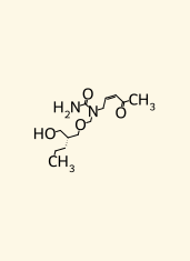 CCC[C@H](CO)COCN(C/C=C\C(C)=O)C(N)=O